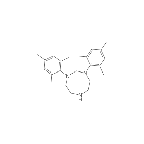 Cc1cc(C)c(N2CCNCCN(c3c(C)cc(C)cc3C)C2)c(C)c1